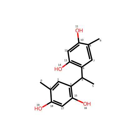 Cc1cc(C(C)c2cc(C)c(O)cc2O)c(O)cc1O